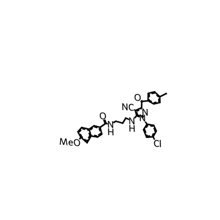 COc1ccc2cc(C(=O)NCCCNc3c(C#N)c(C(=O)c4ccc(C)cc4)nn3-c3ccc(Cl)cc3)ccc2c1